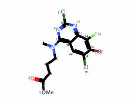 COC(=O)CCCN(C)c1nc(Cl)nc2c(F)c(Br)c(Cl)cc12